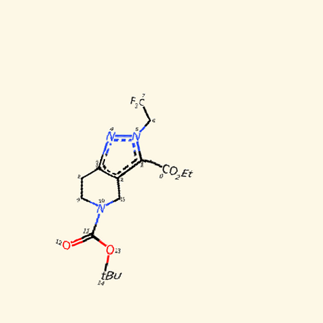 CCOC(=O)c1c2c(nn1CC(F)(F)F)CCN(C(=O)OC(C)(C)C)C2